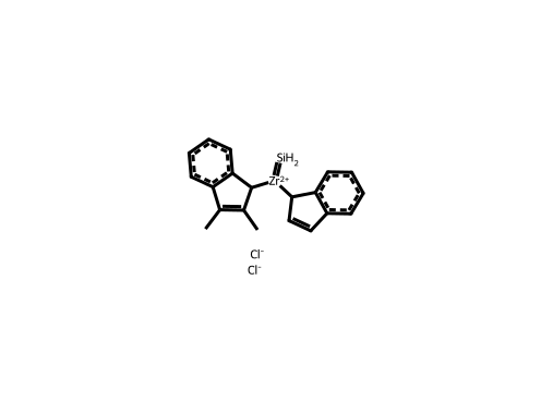 CC1=C(C)[CH]([Zr+2](=[SiH2])[CH]2C=Cc3ccccc32)c2ccccc21.[Cl-].[Cl-]